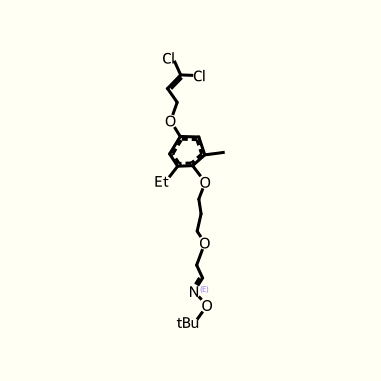 CCc1cc(OCC=C(Cl)Cl)cc(C)c1OCCCOC/C=N/OC(C)(C)C